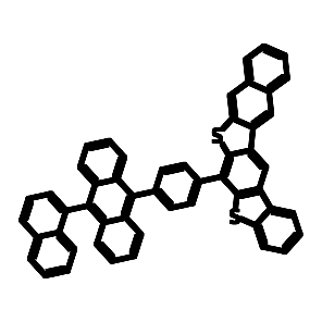 c1ccc2cc3c(cc2c1)sc1c(-c2ccc(-c4c5ccccc5c(-c5cccc6ccccc56)c5ccccc45)cc2)c2sc4ccccc4c2cc13